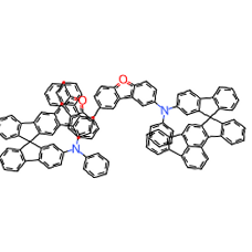 c1ccc(N(c2ccc3c(c2)C2(c4ccccc4-3)c3ccccc3-c3cc4c5ccccc5c5c(-c6ccc7oc8ccc(N(c9ccccc9)c9ccc%10c(c9)C9(c%11ccccc%11-%10)c%10ccccc%10-c%10c9cc9c%11c(cccc%10%11)-c%10ccccc%10-9)cc8c7c6)cccc5c4cc32)c2ccc3oc4ccccc4c3c2)cc1